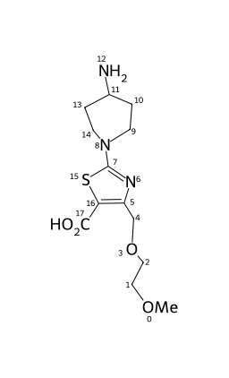 COCCOCc1nc(N2CCC(N)CC2)sc1C(=O)O